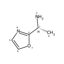 C[C@@H](N)c1ncco1